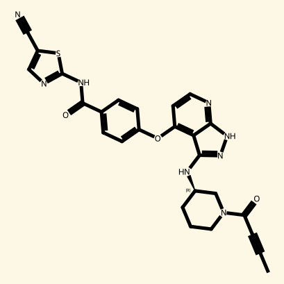 CC#CC(=O)N1CCC[C@@H](Nc2n[nH]c3nccc(Oc4ccc(C(=O)Nc5ncc(C#N)s5)cc4)c23)C1